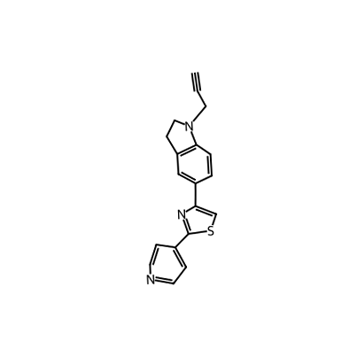 C#CCN1CCc2cc(-c3csc(-c4ccncc4)n3)ccc21